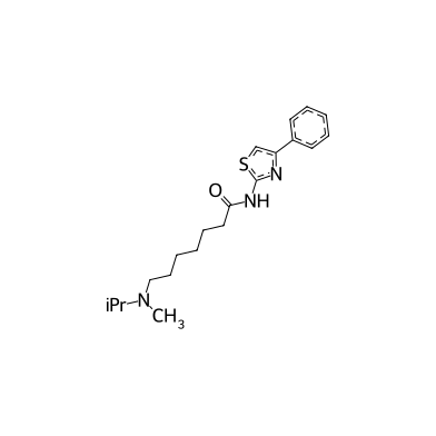 CC(C)N(C)CCCCCCC(=O)Nc1nc(-c2ccccc2)cs1